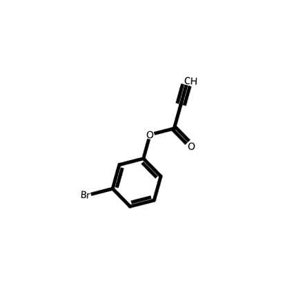 C#CC(=O)Oc1cccc(Br)c1